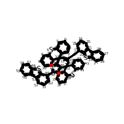 c1ccc2c(c1)Sc1ccccc1C21c2cc(-c3cccc4c3sc3ccccc34)sc2C2(c3ccccc3Sc3ccccc32)c2cc(-c3cccc4c3sc3ccccc34)sc21